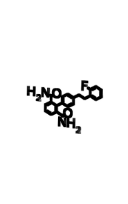 NC(=O)c1cccc(C(N)=O)c1-c1ccc(CCc2ccccc2F)cc1